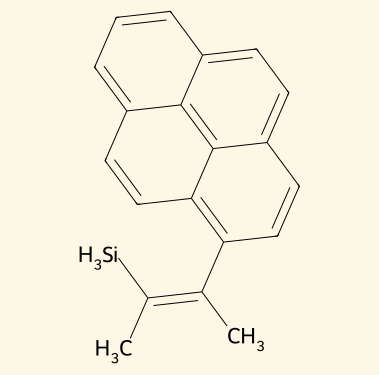 CC([SiH3])=C(C)c1ccc2ccc3cccc4ccc1c2c34